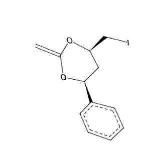 C=C1O[C@@H](CI)C[C@@H](c2ccccc2)O1